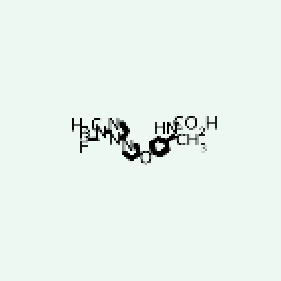 C[C@H](NC(=O)O)c1ccc(O[C@@H]2CCN(c3ccnc(N(C)CC(F)F)n3)C2)cc1